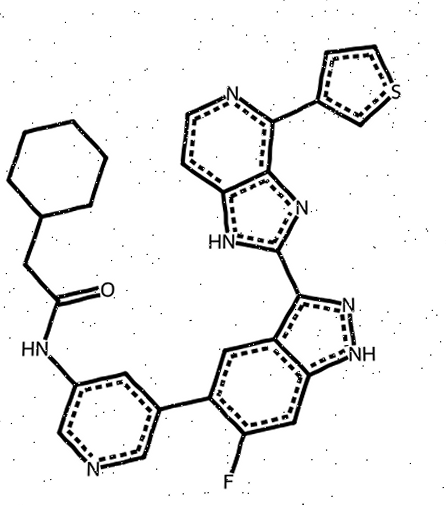 O=C(CC1CCCCC1)Nc1cncc(-c2cc3c(-c4nc5c(-c6ccsc6)nccc5[nH]4)n[nH]c3cc2F)c1